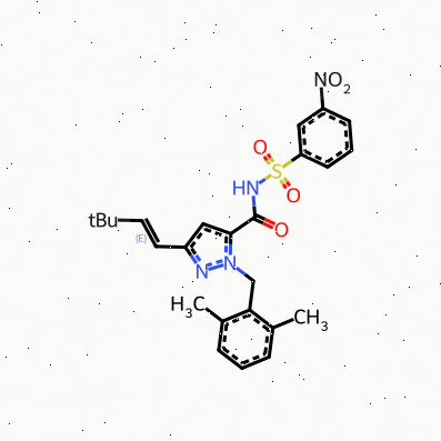 Cc1cccc(C)c1Cn1nc(/C=C/C(C)(C)C)cc1C(=O)NS(=O)(=O)c1cccc([N+](=O)[O-])c1